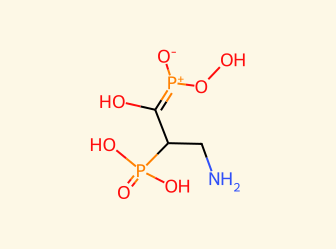 NCC(C(O)=[P+]([O-])OO)P(=O)(O)O